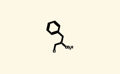 O=C(O)N(CCl)Cc1ccccc1